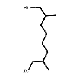 CC(C[CH]CCC(C)CC(C)(C)C)CC(C)(C)C